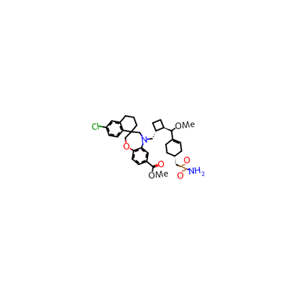 COC(=O)c1ccc2c(c1)N(C[C@@H]1CC[C@H]1C(OC)C1=CC[C@H](CS(N)(=O)=O)CC1)CC1(CCCc3cc(Cl)ccc31)CO2